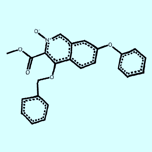 COC(=O)c1c(OCc2ccccc2)c2ccc(Oc3ccccc3)cc2c[n+]1[O-]